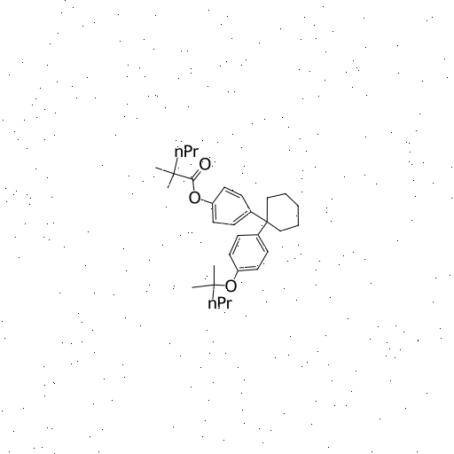 CCCC(C)(C)Oc1ccc(C2(c3ccc(OC(=O)C(C)(C)CCC)cc3)CCCCC2)cc1